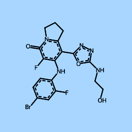 O=c1c(F)c(Nc2ccc(Br)cc2F)c(-c2nnc(NCCO)o2)c2n1CCC2